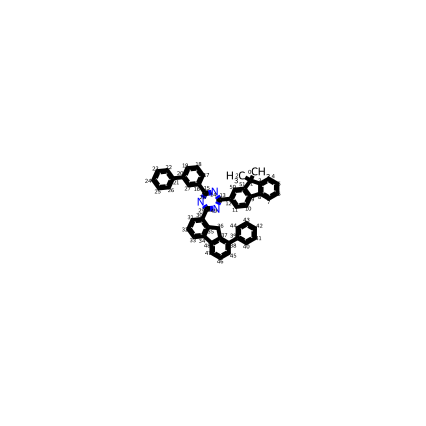 CC1(C)c2ccccc2-c2ccc(-c3nc(-c4cccc(-c5ccccc5)c4)nc(-c4cccc5c4Cc4c(-c6ccccc6)cccc4-5)n3)cc21